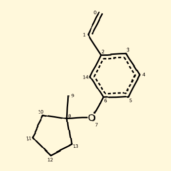 C=Cc1cccc(OC2(C)CCCC2)c1